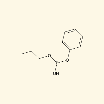 CCCOP(O)Oc1ccccc1